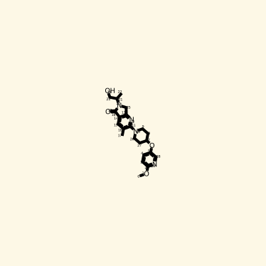 COc1ccc(OC2CCN(c3nc4c(cc3C)C(=O)N(C(C)CO)C4)CC2)cn1